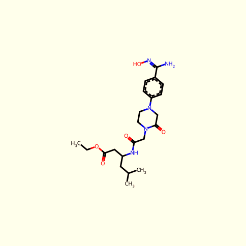 CCOC(=O)CC(CC(C)C)NC(=O)CN1CCN(c2ccc(/C(N)=N\O)cc2)CC1=O